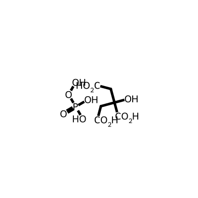 O=C(O)CC(O)(CC(=O)O)C(=O)O.O=P(O)(O)OO